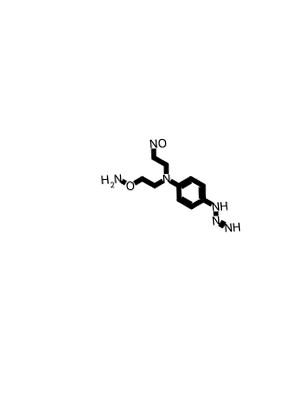 N=NNc1ccc(N(CCN=O)CCON)cc1